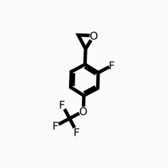 Fc1cc(OC(F)(F)F)ccc1C1CO1